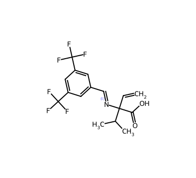 C=CC(/N=C/c1cc(C(F)(F)F)cc(C(F)(F)F)c1)(C(=O)O)C(C)C